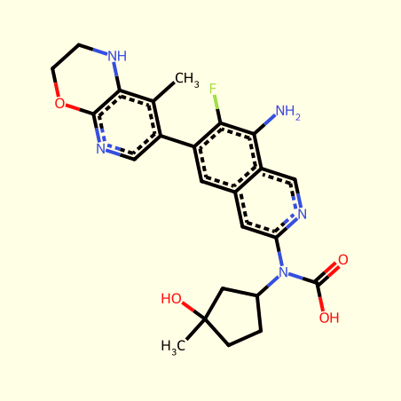 Cc1c(-c2cc3cc(N(C(=O)O)C4CCC(C)(O)C4)ncc3c(N)c2F)cnc2c1NCCO2